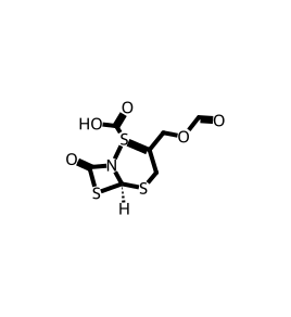 O=COCC1=S(C(=O)O)N2C(=O)S[C@@H]2SC1